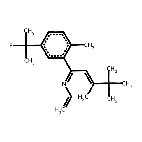 C=C/N=C(\C=C(/C)C(C)(C)C)c1cc(C(C)(C)F)ccc1C